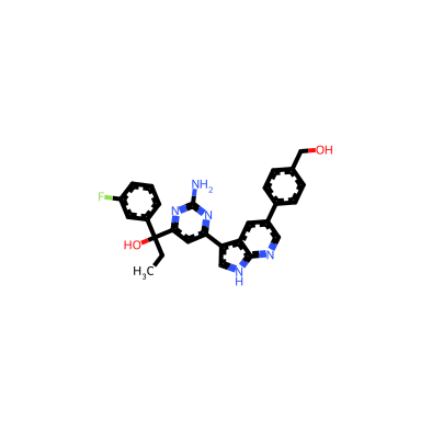 CCC(O)(c1cccc(F)c1)c1cc(-c2c[nH]c3ncc(-c4ccc(CO)cc4)cc23)nc(N)n1